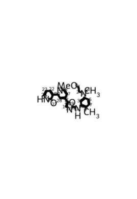 COCCN(C)c1ccc(C)c(Nc2ncc(-c3ccnc(-c4ccc[nH]c4=O)c3)o2)c1